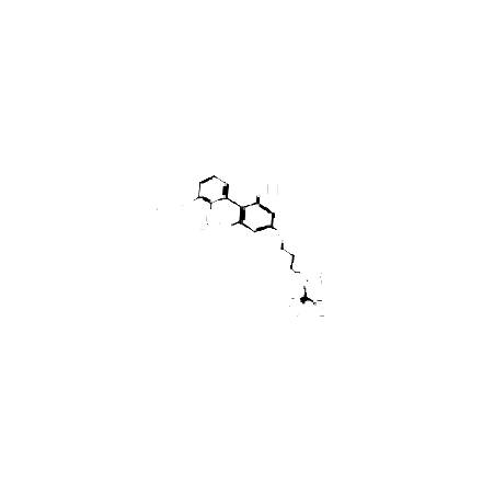 CCC(=O)NCCCOc1cc(C)c(-c2cccc(C=O)c2C)c(C)c1